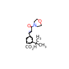 CC(C)(C(=O)O)c1cccc(/C=C/C(=O)N2CCOCC2)c1